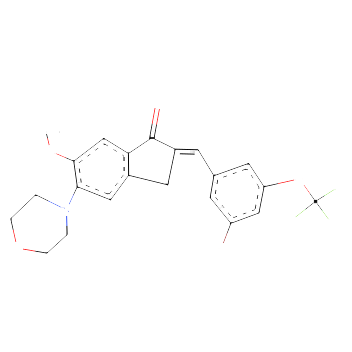 COc1cc2c(cc1N1CCOCC1)CC(=Cc1cc(Br)cc(OC(F)(F)F)c1)C2=O